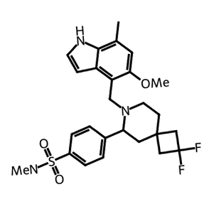 CNS(=O)(=O)c1ccc(C2CC3(CCN2Cc2c(OC)cc(C)c4[nH]ccc24)CC(F)(F)C3)cc1